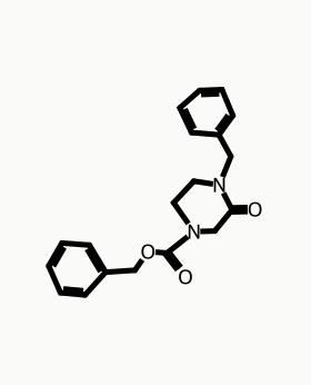 O=C1CN(C(=O)OCc2ccccc2)CCN1Cc1ccccc1